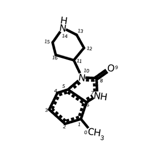 Cc1cccc2c1[nH]c(=O)n2C1CCNCC1